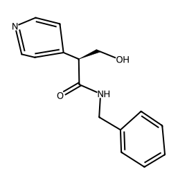 O=C(NCc1ccccc1)[C@H](CO)c1ccncc1